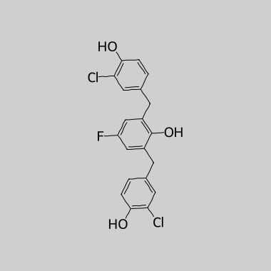 Oc1ccc(Cc2cc(F)cc(Cc3ccc(O)c(Cl)c3)c2O)cc1Cl